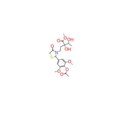 COC(=O)C(O)(CCN1C(=O)CSC1c1cc(OC)c(OC(C)=O)c(OC)c1)C(C)O